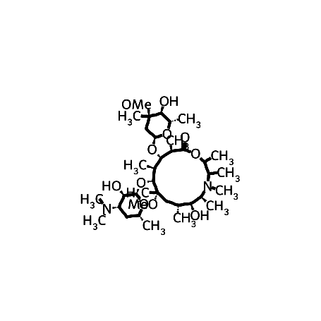 CO[C@]1(C)C[C@H](O[C@H]2[C@H](C)[C@@H](O[C@@H]3O[C@H](C)C[C@H](N(C)C)[C@H]3O)[C@@](C)(OC)C[C@@H](C)[C@H](O)[C@H](C)N(C)C(C)C(C)OC(=O)[C@@H]2C)O[C@@H](C)[C@@H]1O